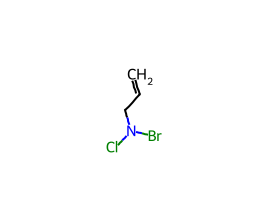 C=CCN(Cl)Br